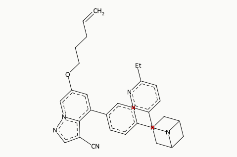 C=CCCCOc1cc(-c2ccc(N3CC4CC(C3)N4Cc3ccc(CC)nc3)nc2)c2c(C#N)cnn2c1